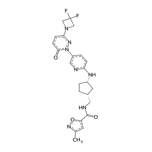 Cc1cc(C(=O)NC[C@@H]2CC[C@H](Nc3ccc(-n4nc(N5CC(F)(F)C5)ccc4=O)cn3)C2)on1